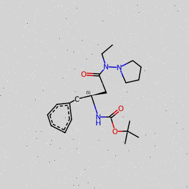 CCN(C(=O)C[C@H](Cc1ccccc1)NC(=O)OC(C)(C)C)N1CCCC1